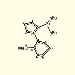 CCCCP(CCCC)c1cccn1-c1ccccc1OC